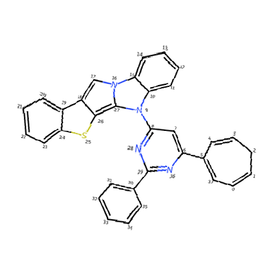 C1=CCC=CC(c2cc(-n3c4ccccc4n4cc5c6ccccc6sc5c34)nc(-c3ccccc3)n2)=C1